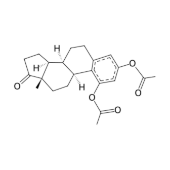 CC(=O)Oc1cc2c(c(OC(C)=O)c1)[C@H]1CC[C@]3(C)C(=O)CC[C@H]3[C@H]1CC2